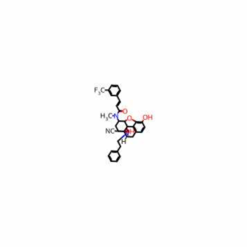 CN(C(=O)/C=C/c1cccc(C(F)(F)F)c1)C1CC[C@@]2(O)[C@H]3Cc4ccc(O)c5c4[C@@]2(CC(C#N)N3CCc2ccccc2)C1O5